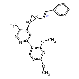 COc1ncc(-c2cc([C@H]3C[C@@H]3/C=C/c3ccccc3)c(C)nn2)c(OC)n1